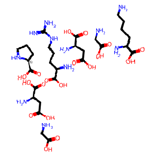 N=C(N)NCCCC(N)C(=O)O.NC(CC(=O)O)C(=O)O.NC(CC(=O)O)C(=O)O.NCC(=O)O.NCC(=O)O.NCCCCC(N)C(=O)O.O=C(O)[C@@H]1CCCN1